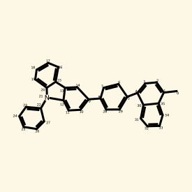 Cc1ccc(-c2ccc(-c3ccc4c(c3)c3ccccc3n4-c3ccccc3)cc2)c2ccccc12